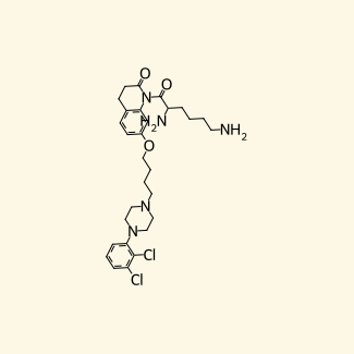 NCCCCC(N)C(=O)N1C(=O)CCc2ccc(OCCCCN3CCN(c4cccc(Cl)c4Cl)CC3)cc21